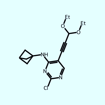 CCOC(C#Cc1cnc(Cl)nc1NC12CC(C1)C2)OCC